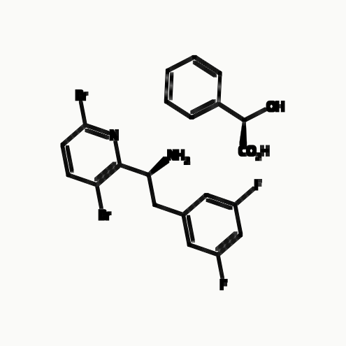 N[C@@H](Cc1cc(F)cc(F)c1)c1nc(Br)ccc1Br.O=C(O)[C@H](O)c1ccccc1